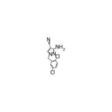 N#Cc1cn(Cc2cc(Cl)ccc2Cl)nc1N